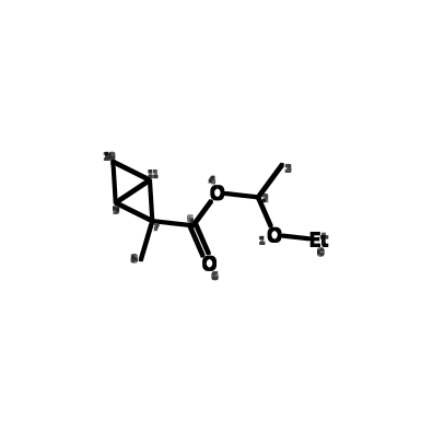 CCOC(C)OC(=O)C1(C)C2CC21